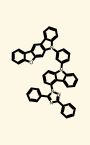 c1ccc(-c2nc(-c3ccccc3)n(-c3cccc4c3c3ccccc3n4-c3cccc(-n4c5ccccc5c5cc6c(cc54)oc4ccccc46)c3)n2)cc1